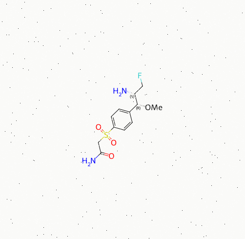 CO[C@H](c1ccc(S(=O)(=O)CC(N)=O)cc1)[C@H](N)CF